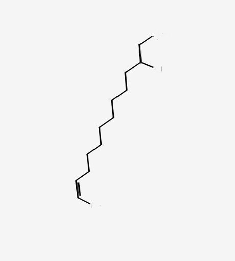 CCCCCCCC/C=C\CCCCCCCCC(O)CCCCCCCCCCC